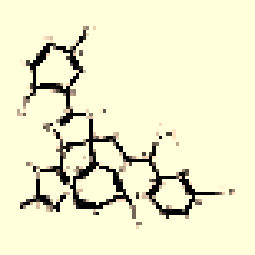 Cc1nnc(N2N=C(c3cc(F)ccc3F)SC2(CCC(N)c2cccc(F)c2)c2cccc(F)c2)s1